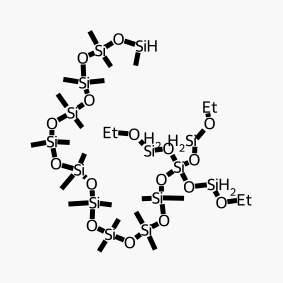 CCO[SiH2]O[Si](O[SiH2]OCC)(O[SiH2]OCC)O[Si](C)(C)O[Si](C)(C)O[Si](C)(C)O[Si](C)(C)O[Si](C)(C)O[Si](C)(C)O[Si](C)(C)O[Si](C)(C)O[Si](C)(C)O[SiH](C)C